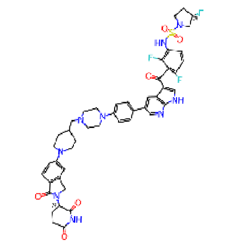 O=C1CC[C@@H](N2Cc3cc(N4CCC(CN5CCN(c6ccc(-c7cnc8[nH]cc(C(=O)c9c(F)ccc(NS(=O)(=O)N%10CC[C@@H](F)C%10)c9F)c8c7)cc6)CC5)CC4)ccc3C2=O)C(=O)N1